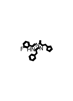 C=c1c(CC2=CC=CC2)nc2n1C=C(c1cccc(F)c1)NC=2Cc1ccccc1